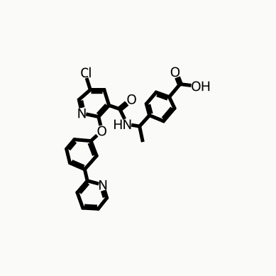 CC(NC(=O)c1cc(Cl)cnc1Oc1cccc(-c2ccccn2)c1)c1ccc(C(=O)O)cc1